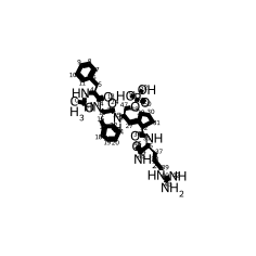 CC(=O)N[C@@H](Cc1ccccc1)C(=O)N[C@@H](Cc1ccccc1)C(=O)N[C@H](/C=C1\CCC[C@H]1C(=O)N[C@@H](CCCNC(=N)N)C(N)=O)COP(=O)(O)O